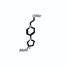 CN[C@@H]1CCN(C2=CCN(CCOC)C=C2)C1